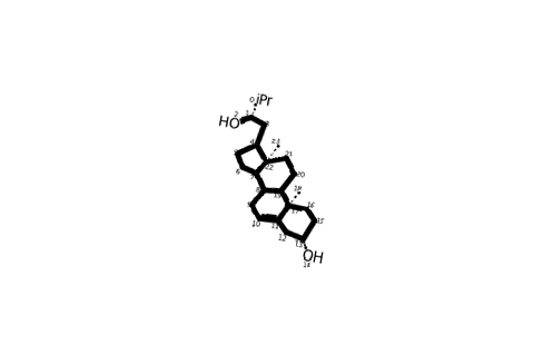 CC(C)[C@@H](O)CC1CCC2C3CC=C4C[C@@H](O)CC[C@]4(C)C3CC[C@]12C